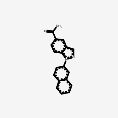 NC(=O)c1ccc2c(cnn2-c2ccc3ccccc3c2)c1